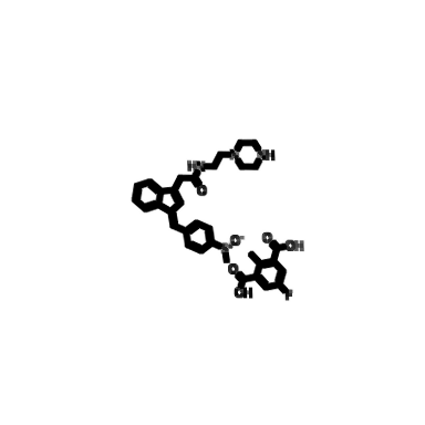 C[S+]([O-])c1ccc(C=C2C=C(CC(=O)NCCN3CCNCC3)c3ccccc32)cc1.Cc1c(C(=O)O)cc(F)cc1C(=O)O